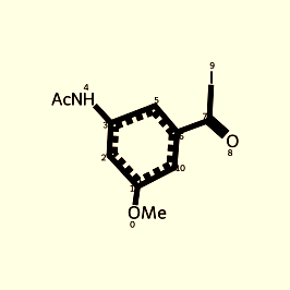 COc1cc(NC(C)=O)cc(C(=O)I)c1